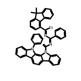 C=C(/N=C(\N=C(/CC)c1cccc2c1-c1ccccc1C2(C)C)c1ccccc1)n1c2ccccc2c2ccc3c4ccccc4n(-c4ccccc4)c3c21